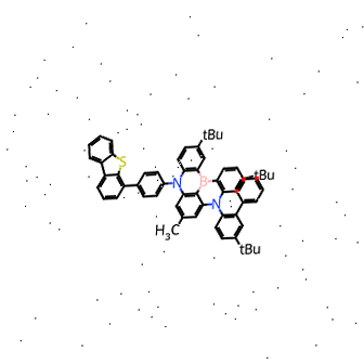 Cc1cc2c3c(c1)N(c1ccc(C(C)(C)C)cc1-c1ccccc1)c1cc(C(C)(C)C)ccc1B3c1cc(C(C)(C)C)ccc1N2c1ccc(-c2cccc3c2sc2ccccc23)cc1